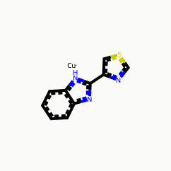 [Cu].c1ccc2[nH]c(-c3cscn3)nc2c1